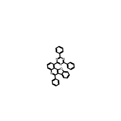 c1ccc(-c2nc(-c3ccccc3)nc(-c3cccc4nc(-c5ccccc5)c5c6ccccc6oc5c34)n2)cc1